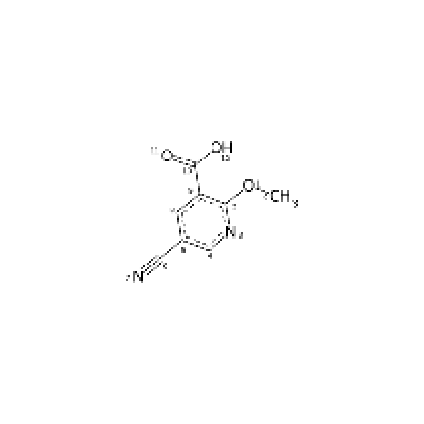 COc1ncc(C#N)cc1C(=O)O